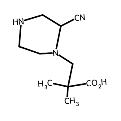 CC(C)(CN1CCNCC1C#N)C(=O)O